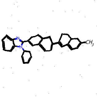 CC1=CC=C2C=C(C3=CC=C4C=C(c5nc6ccccc6n5C5C=CC=CC5)CCC4C3)CCC2C1